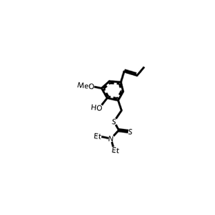 CC=Cc1cc(CSC(=S)N(CC)CC)c(O)c(OC)c1